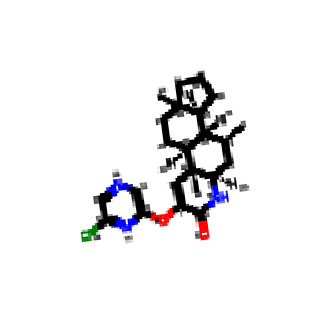 C[C@H]1C[C@H]2NC(=O)C(Oc3cncc(Cl)n3)=C[C@]2(C)[C@H]2CC[C@]3(C)CCC[C@H]3[C@H]12